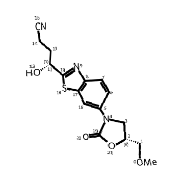 COC[C@H]1CN(c2ccc3nc([C@H](O)CCC#N)sc3c2)C(=O)O1